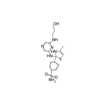 CC1=CSC(Nc2cncc(NCCCO)n2)(c2ccc(S(N)(=O)=O)cc2)N1